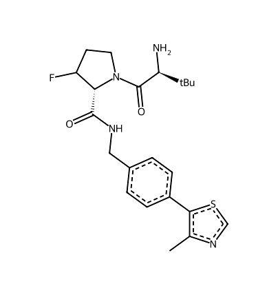 Cc1ncsc1-c1ccc(CNC(=O)[C@@H]2C(F)CCN2C(=O)[C@@H](N)C(C)(C)C)cc1